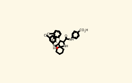 O=C(O)c1ccc(NC(=O)C2NC3(CCCCC3)[C@@]3(C(=O)Nc4cc(Cl)ccc43)[C@@H]2c2cccc(Cl)c2F)cc1